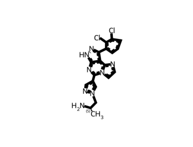 C[C@H](N)Cn1cc(-c2nc3[nH]nc(-c4cccc(Cl)c4Cl)c3c3nccn23)cn1